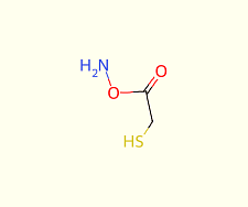 NOC(=O)CS